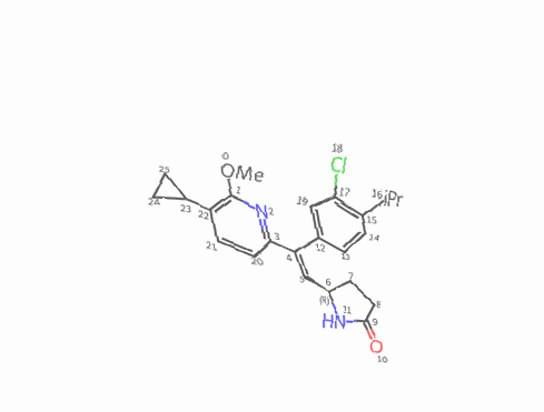 COc1nc(C(=C[C@H]2CCC(=O)N2)c2ccc(C(C)C)c(Cl)c2)ccc1C1CC1